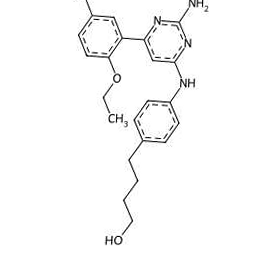 CCOc1ccc(Cl)cc1-c1cc(Nc2ccc(CCCCO)cc2)nc(N)n1